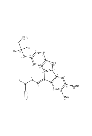 C#CC(C)ON=C1c2cc(OC)c(OC)cc2-c2[nH]c3ccc(OC(C)(C)CN)cc3c21